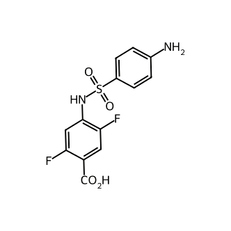 Nc1ccc(S(=O)(=O)Nc2cc(F)c(C(=O)O)cc2F)cc1